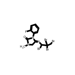 CN1CC(=NC(Br)C(Br)(Br)CBr)N(c2ccccc2F)C1=O